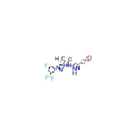 CC(C(=O)Nc1cc(C2CC3(COC3)C2)n[nH]1)c1cnn(-c2cc(F)cc(C(F)F)c2)c1